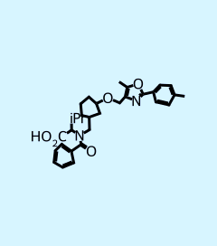 Cc1ccc(-c2nc(COC3CCCC(CN(C(=O)c4ccccc4)C(C(=O)O)C(C)C)C3)c(C)o2)cc1